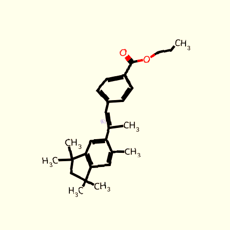 CCCOC(=O)c1ccc(/C=C(\C)c2cc3c(cc2C)C(C)(C)CC3(C)C)cc1